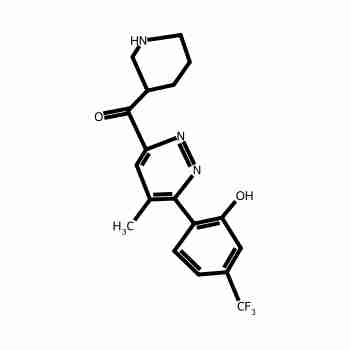 Cc1cc(C(=O)C2CCCNC2)nnc1-c1ccc(C(F)(F)F)cc1O